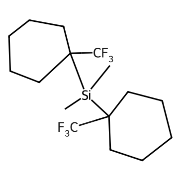 C[Si](C)(C1(C(F)(F)F)CCCCC1)C1(C(F)(F)F)CCCCC1